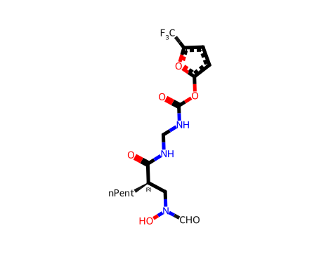 CCCCC[C@H](CN(O)C=O)C(=O)NCNC(=O)Oc1ccc(C(F)(F)F)o1